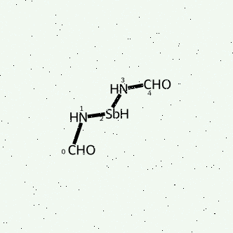 O=C[NH][SbH][NH]C=O